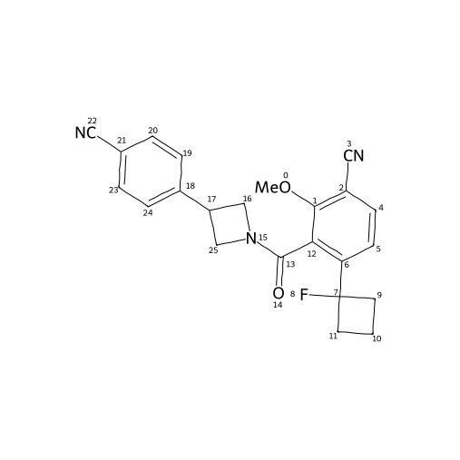 COc1c(C#N)ccc(C2(F)CCC2)c1C(=O)N1CC(c2ccc(C#N)cc2)C1